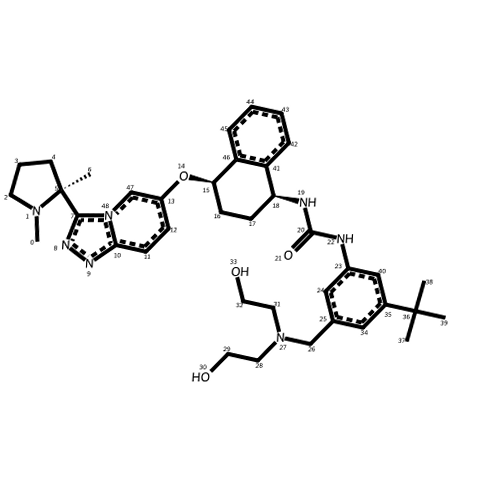 CN1CCC[C@@]1(C)c1nnc2ccc(O[C@@H]3CC[C@H](NC(=O)Nc4cc(CN(CCO)CCO)cc(C(C)(C)C)c4)c4ccccc43)cn12